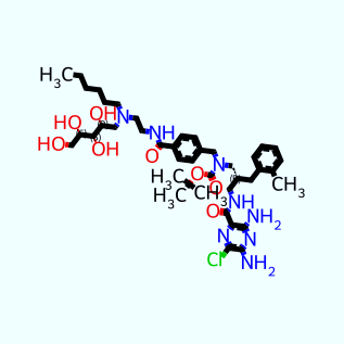 CCCCCCN(CCNC(=O)c1ccc(CN(C[C@@H](CNC(=O)c2nc(Cl)c(N)nc2N)Cc2ccccc2C)C(=O)OC(C)(C)C)cc1)C[C@@H](O)[C@H](O)[C@@H](O)CO